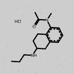 CCCNC1CCc2c(cccc2N(C)C(C)=O)C1.Cl